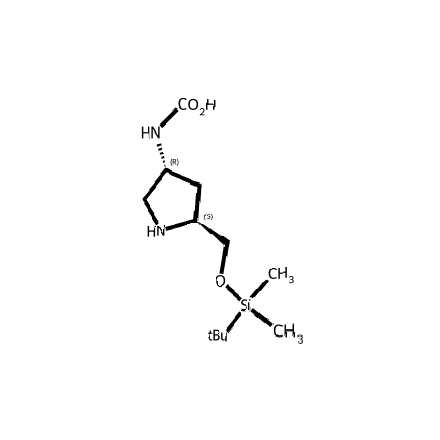 CC(C)(C)[Si](C)(C)OC[C@@H]1C[C@@H](NC(=O)O)CN1